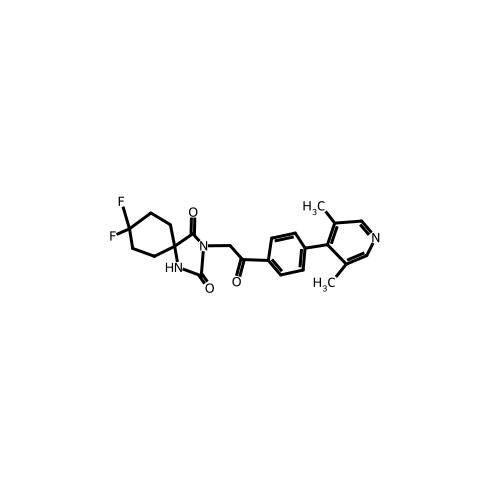 Cc1cncc(C)c1-c1ccc(C(=O)CN2C(=O)NC3(CCC(F)(F)CC3)C2=O)cc1